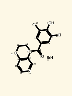 Br.O=C(c1cc(Cl)c(O)c(Cl)c1)N1CCOc2ccncc21